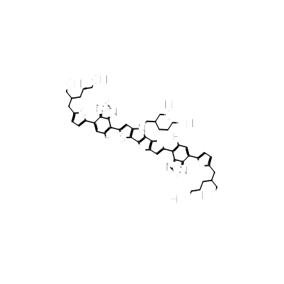 CCCCC(CC)Cc1ccc(-c2cc(F)c(-c3cc4c(s3)c3sc5cc(-c6c(F)cc(-c7ccc(CC(CC)CCCC)s7)c7nsnc67)sc5c3n4CC(CC)CCCC)c3nsnc23)s1